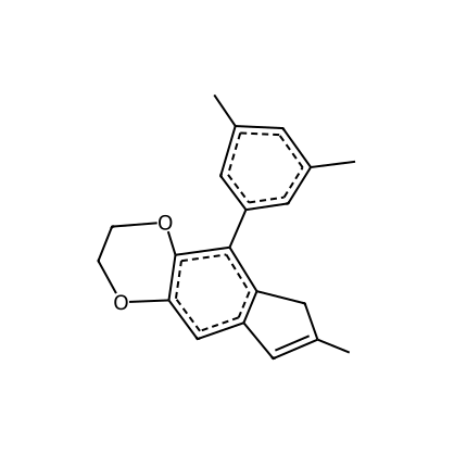 CC1=Cc2cc3c(c(-c4cc(C)cc(C)c4)c2C1)OCCO3